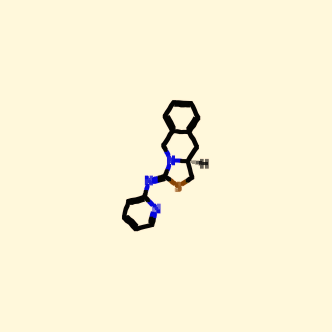 c1ccc(N=C2SC[C@@H]3Cc4ccccc4CN23)nc1